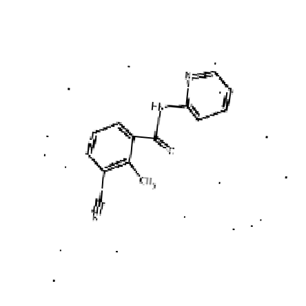 Cc1c(C#N)cccc1C(=O)Nc1ccccn1